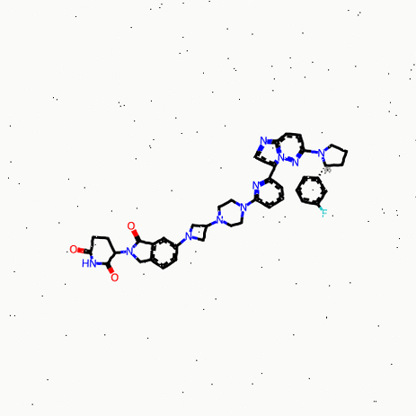 O=C1CCC(N2Cc3ccc(N4CC(N5CCN(c6cccc(-c7cnc8ccc(N9CCC[C@@H]9c9cccc(F)c9)nn78)n6)CC5)C4)cc3C2=O)C(=O)N1